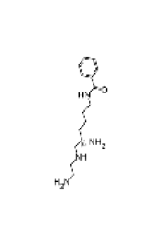 NCCNC[C@@H](N)CCCCNC(=O)c1ccccc1